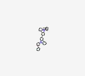 CC12CC=CC=C1c1cc(-c3ccc4c(c3)c3ccccc3n4-c3cccc(-c4ccccc4)c3)ccc1N2c1ccccc1